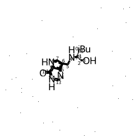 CC[C@H](C)[C@H](CO)NCc1c[nH]c2c(=O)[nH]cnc12